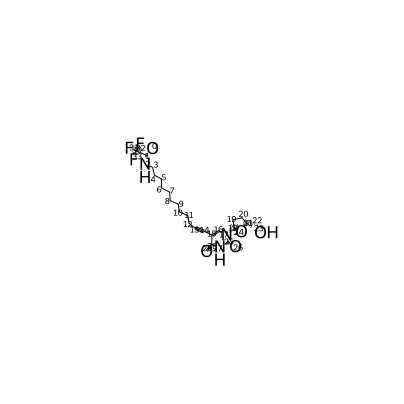 O=C(NCCCCCCCCCCC#Cc1cn([C@@H]2CC[C@H](CO)O2)c(=O)[nH]c1=O)C(F)(F)F